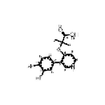 CC(C)(Sc1ccncc1-c1ccc(F)c(F)c1)C(=O)O